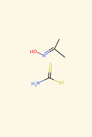 CC(C)=NO.NC(=S)S